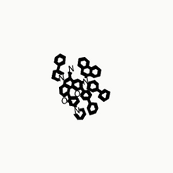 N#Cc1c(N2C=C(c3ccccc3)C=CC2)c2ccc3oc4cc(N5C=CC=CC5)ccc4c3c2c2c1cc(N(c1ccc(-c3ccccc3)cc1)c1cc3ccccc3c3ccccc13)c1c3ccc(-c4ccccc4)cc3oc12